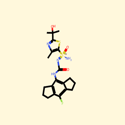 Cc1nc(C(C)(C)O)sc1[S@@](N)(=O)=NC(=O)Nc1c2c(c(F)c3c1CCC3)CCC2